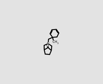 CC1(CN2CC3CCC(C2)C3=O)C=CC=CC1